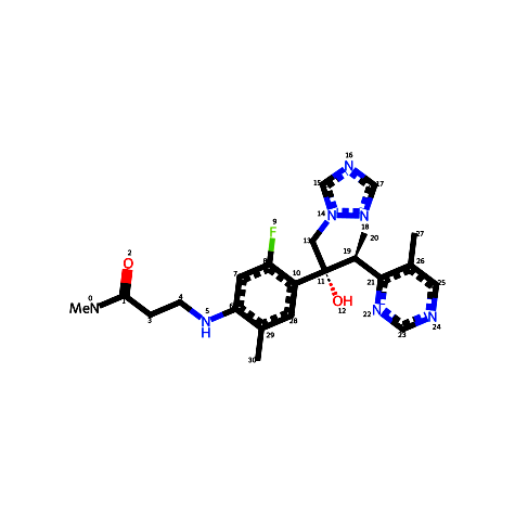 CNC(=O)CCNc1cc(F)c([C@@](O)(Cn2cncn2)[C@@H](C)c2ncncc2C)cc1C